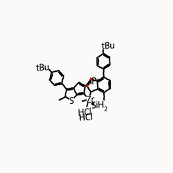 CC1=Cc2c(-c3ccc(C(C)(C)C)cc3)ccc(C)c2[CH]1[Zr]([CH3])([CH3])(=[SiH2])[C]1=C2SC(C)C(c3ccc(C(C)(C)C)cc3)=C2C=C1C(C)C.Cl.Cl